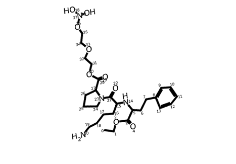 CCOC(=O)C(CCc1ccccc1)NC(CCCCN)C(=O)N1CCCC1C(=O)OCCOCCON(O)O